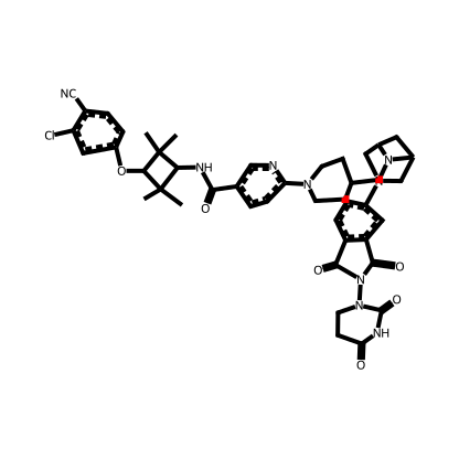 CC1(C)C(NC(=O)c2ccc(N3CCC(CN4C5CC4CN(c4ccc6c(c4)C(=O)N(N4CCC(=O)NC4=O)C6=O)C5)CC3)nc2)C(C)(C)C1Oc1ccc(C#N)c(Cl)c1